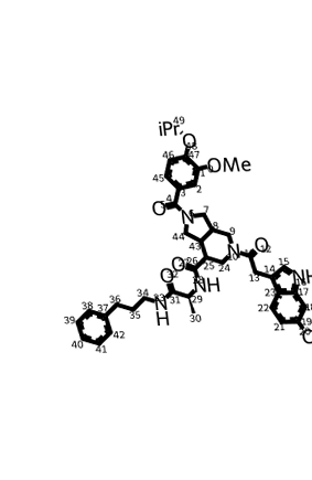 COc1cc(C(=O)N2CC3CN(C(=O)Cc4c[nH]c5cc(Cl)ccc45)CC(C(=O)N[C@@H](C)C(=O)NCCCc4ccccc4)C3C2)ccc1OC(C)C